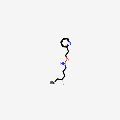 CCC(C)C[C@@H](C)CCCNOCCc1ccccn1